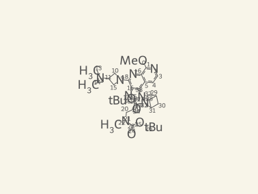 COc1nccc2c1nc(N1CC(N(C)C)C1)c1nc(CCN(C)C(=O)OC(C)(C)C)n(C3C4CC3N(C(=O)OC(C)(C)C)C4)c12